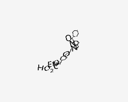 CCO[C@@H](Cc1ccc(OCCn2ccc3ccc(C(=O)C4CCCCC4)nc32)cc1)C(=O)O